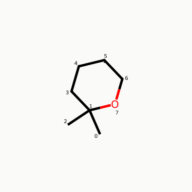 CC1(C)CC[CH]CO1